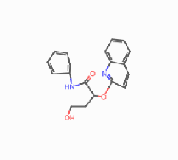 O=C(Nc1ccccc1)C(CCO)Oc1ccc2ccccc2n1